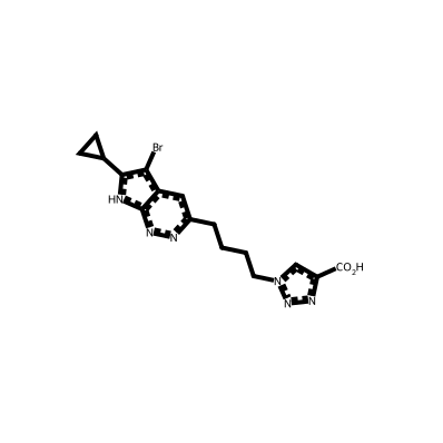 O=C(O)c1cn(CCCCc2cc3c(Br)c(C4CC4)[nH]c3nn2)nn1